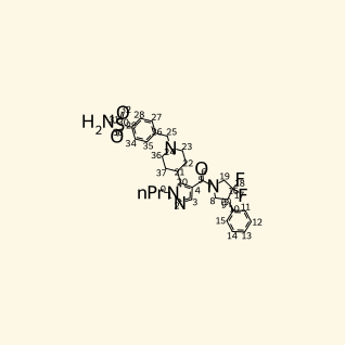 CCCn1ncc(C(=O)N2C[C@H](c3ccccc3)C(F)(F)C2)c1C1CCN(Cc2ccc(S(N)(=O)=O)cc2)CC1